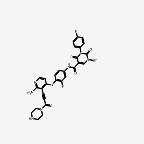 CC(C)n1cc(C(=O)Nc2ccc(Oc3ccnc(N)c3C#CC(=O)N3CCNCC3)c(F)c2)c(=O)n(-c2ccc(F)cc2)c1=O